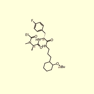 CCC(=O)N(C)[C@H](C)C(=O)N[C@H](Cc1ccc(F)cc1)C(=O)NCCCC1CCCCC1O[C@H](C)CC